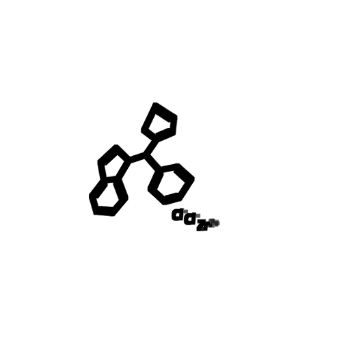 C1=CCC(C(c2ccccc2)C2C=Cc3ccccc32)=C1.[Cl-].[Cl-].[Zr+2]